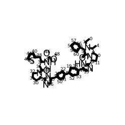 CCN(CC)C(C(=O)N1CCC[C@H]1c1ncc(-c2ccc(-c3ccc(-c4cnc([C@@H]5CCCN5C(=O)C[C@@H](Cc5cccs5)NC(=O)OC)[nH]4)cc3)cc2)[nH]1)c1ccccc1